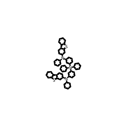 c1ccc(N(c2cccc([Si](c3ccccc3)(c3ccccc3)c3cccc(N(c4ccccc4)c4ccc5c(c4)sc4ccccc45)c3)c2)c2ccc3c(c2)sc2ccccc23)cc1